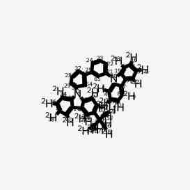 [2H]c1c([2H])c([2H])c2c(c1[2H])c1c([2H])c([2H])c([2H])c([2H])c1n2-c1cccc(-c2cccc(-n3c4c([2H])c([2H])c([2H])c([2H])c4c4c([2H])c(C(C([2H])([2H])[2H])(C([2H])([2H])[2H])C([2H])([2H])[2H])c([2H])c([2H])c43)c2)c1